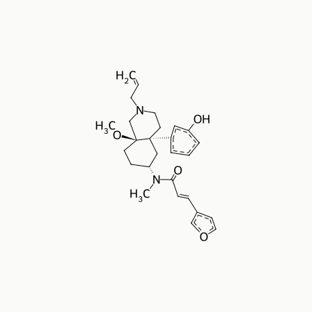 C=CCN1CC[C@@]2(c3cccc(O)c3)C[C@H](N(C)C(=O)/C=C/c3ccoc3)CC[C@]2(OC)C1